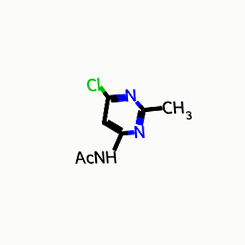 CC(=O)Nc1cc(Cl)nc(C)n1